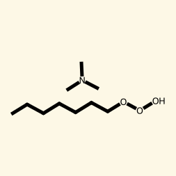 CCCCCCCOOO.CN(C)C